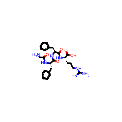 N=C(N)NCCC[C@H](NC(=O)[C@H](Cc1ccccc1)NC(=O)[C@H](Cc1ccccc1)NC(=O)CN)C(=O)O